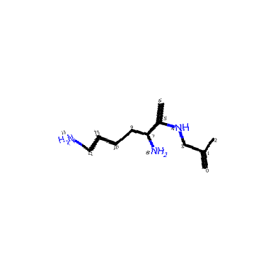 C=C(C)CNC(=C)C(N)CCCCN